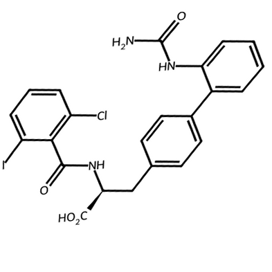 NC(=O)Nc1ccccc1-c1ccc(C[C@H](NC(=O)c2c(Cl)cccc2Cl)C(=O)O)cc1